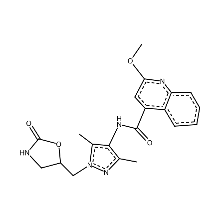 COc1cc(C(=O)Nc2c(C)nn(CC3CNC(=O)O3)c2C)c2ccccc2n1